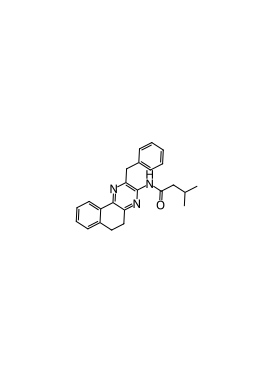 CC(C)CC(=O)Nc1nc2c(nc1Cc1ccccc1)-c1ccccc1CC2